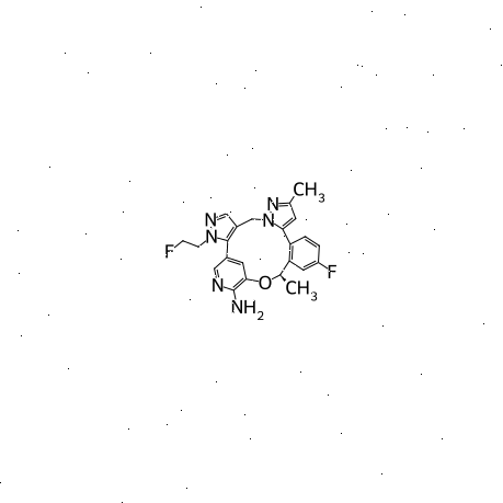 Cc1cc2n(n1)Cc1cnn(CCF)c1-c1cnc(N)c(c1)O[C@H](C)c1cc(F)ccc1-2